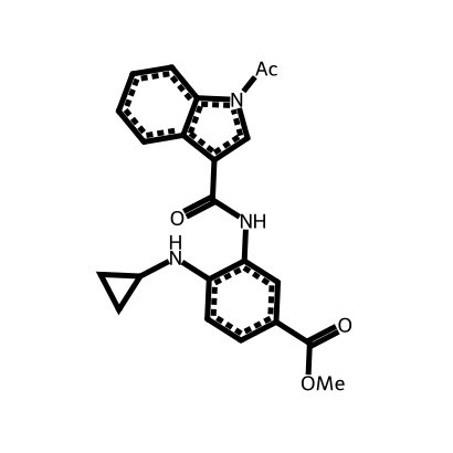 COC(=O)c1ccc(NC2CC2)c(NC(=O)c2cn(C(C)=O)c3ccccc23)c1